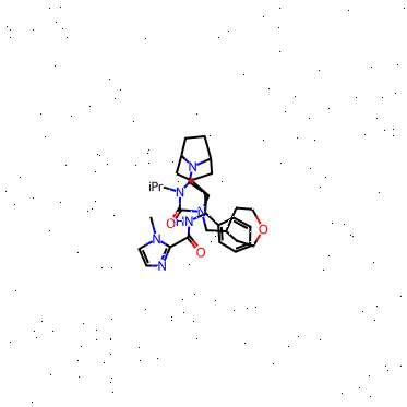 CC(C)N1C(=O)N(CC2CCOCC2)CC12CC1CCC(C2)N1CC[C@H](NC(=O)c1nccn1C)c1ccccc1